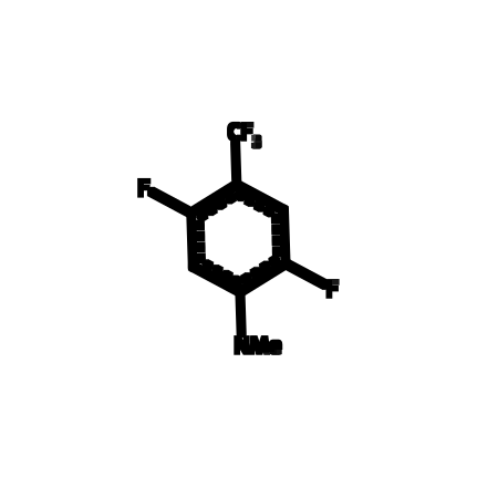 CNc1cc(F)c(C(F)(F)F)cc1F